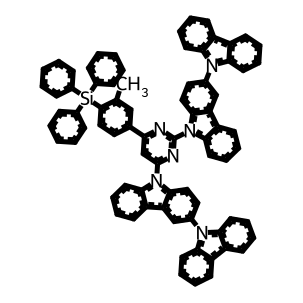 Cc1cc(-c2cc(-n3c4ccccc4c4cc(-n5c6ccccc6c6ccccc65)ccc43)nc(-n3c4ccccc4c4cc(-n5c6ccccc6c6ccccc65)ccc43)n2)ccc1[Si](c1ccccc1)(c1ccccc1)c1ccccc1